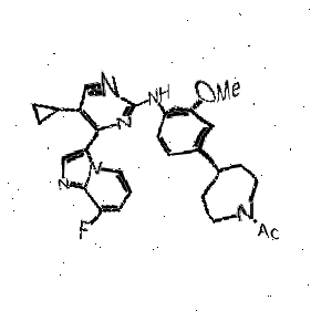 COc1cc(C2CCN(C(C)=O)CC2)ccc1Nc1ncc(C2CC2)c(-c2cnc3c(F)cccn23)n1